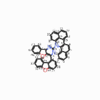 c1ccc2c3c(ccc2c1)-c1cccc2cccc(c12)N3c1nc(-c2cccc3oc4ccccc4c23)c2oc3ccccc3c2n1